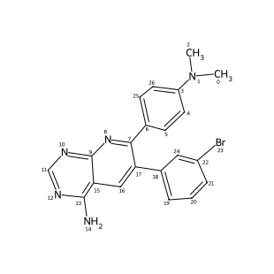 CN(C)c1ccc(-c2nc3ncnc(N)c3cc2-c2cccc(Br)c2)cc1